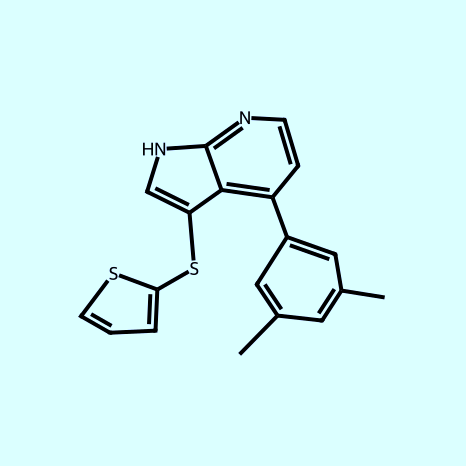 Cc1cc(C)cc(-c2ccnc3[nH]cc(Sc4cccs4)c23)c1